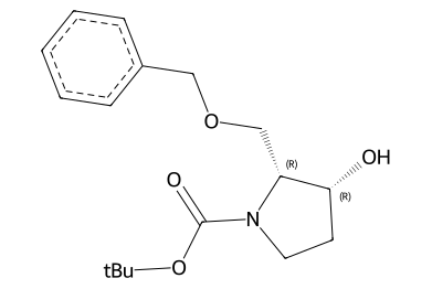 CC(C)(C)OC(=O)N1CC[C@@H](O)[C@H]1COCc1ccccc1